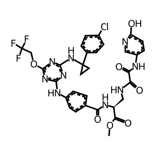 COC(=O)[C@H](CNC(=O)C(=O)Nc1ccc(O)nc1)NC(=O)c1ccc(Nc2nc(NC3(c4ccc(Cl)cc4)CC3)nc(OCC(F)(F)F)n2)cc1